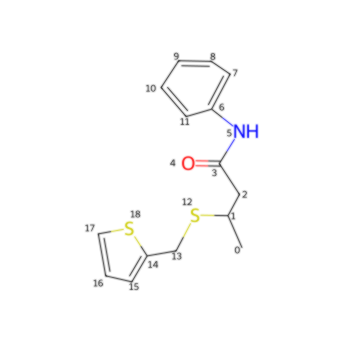 CC(CC(=O)Nc1ccccc1)SCc1cccs1